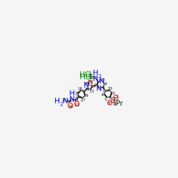 CC(C)S(=O)(=O)c1ccc(-c2cnc(N)c(-c3cc(-c4ccc(C(=O)NC(N)=O)cc4)no3)n2)cc1.Cl.Cl